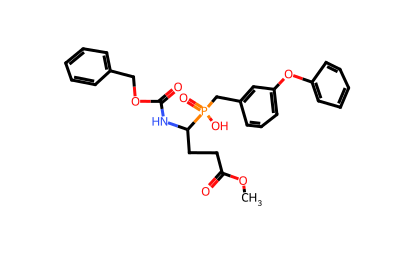 COC(=O)CCC(NC(=O)OCc1ccccc1)P(=O)(O)Cc1cccc(Oc2ccccc2)c1